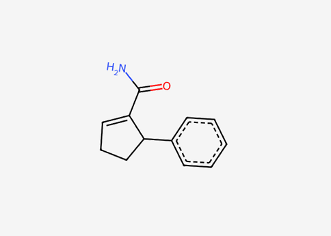 NC(=O)C1=CCCC1c1ccccc1